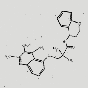 Cc1nc2cccc(OCC(C)(C)C(=O)NC3CCOc4ccccc43)c2c(N)c1C(=O)O